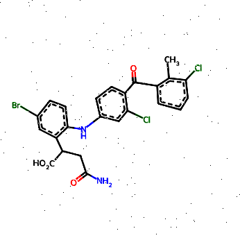 Cc1c(Cl)cccc1C(=O)c1ccc(Nc2ccc(Br)cc2C(CC(N)=O)C(=O)O)cc1Cl